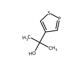 CC(C)(O)c1cpsc1